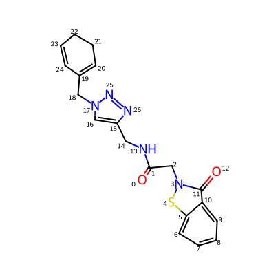 O=C(Cn1sc2ccccc2c1=O)NCc1cn(CC2=CCCC=C2)nn1